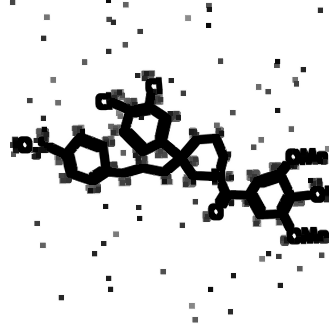 COc1cc(C(=O)N2CCCC(CCCc3ccc(S(=O)(=O)O)cc3)(c3ccc(Cl)c(Cl)c3)C2)cc(OC)c1OC